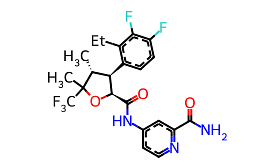 CCc1c([C@H]2[C@@H](C(=O)Nc3ccnc(C(N)=O)c3)OC(C)(C(F)(F)F)[C@@H]2C)ccc(F)c1F